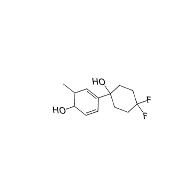 CC1C=C(C2(O)CCC(F)(F)CC2)C=CC1O